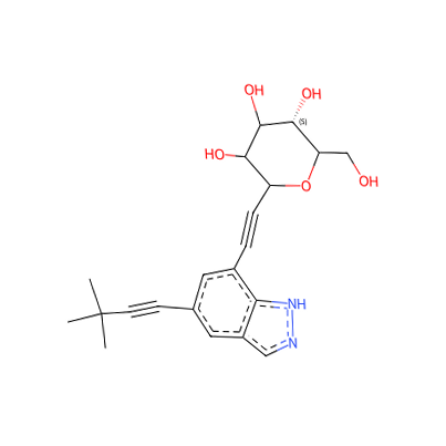 CC(C)(C)C#Cc1cc(C#CC2OC(CO)[C@@H](O)C(O)C2O)c2[nH]ncc2c1